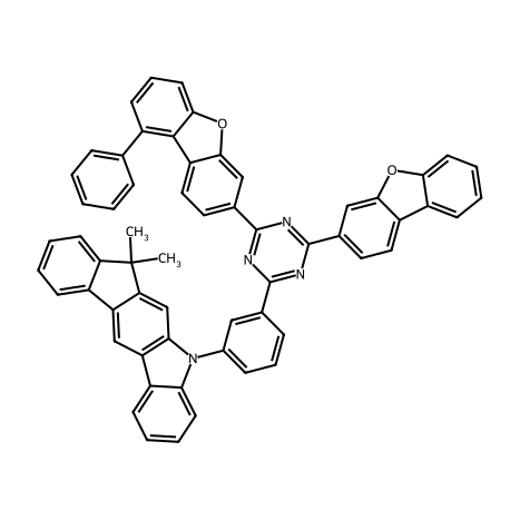 CC1(C)c2ccccc2-c2cc3c4ccccc4n(-c4cccc(-c5nc(-c6ccc7c(c6)oc6ccccc67)nc(-c6ccc7c(c6)oc6cccc(-c8ccccc8)c67)n5)c4)c3cc21